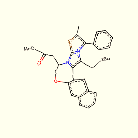 COC(=O)CC1COc2cc3ccccc3cc2-c2c(CC(C)(C)C)n3c(-c4ccccc4)c(C)sc3[n+]21